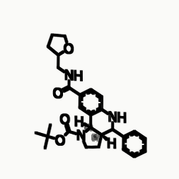 CC(C)(C)OC(=O)N1CC[C@H]2C(c3ccccc3)Nc3ccc(C(=O)NCC4CCCO4)cc3[C@H]21